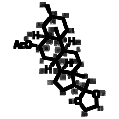 CC(=O)O[C@H]1C[C@@H]2[C@H](CC[C@]3(C)[C@@H](C4(C)OCCO4)CC[C@@H]23)[C@@]2(C)CC[C@H](C)C[C@H]12